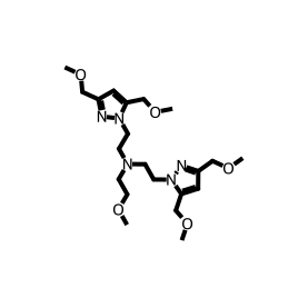 COCCN(CCn1nc(COC)cc1COC)CCn1nc(COC)cc1COC